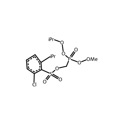 COOP(=O)(COS(=O)(=O)c1c(Cl)cccc1C(C)C)OOC(C)C